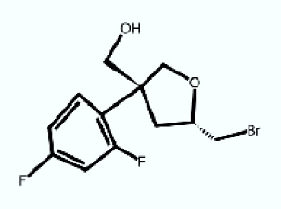 OC[C@@]1(c2ccc(F)cc2F)CO[C@H](CBr)C1